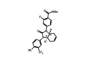 CNC(=O)c1ccc(N2C(=O)N(c3ccc(C#N)c(C(F)(F)F)c3)[C@@H]3CC=CC[C@H]32)cc1F